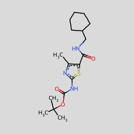 Cc1nc(NC(=O)OC(C)(C)C)sc1C(=O)NCC1CCCCC1